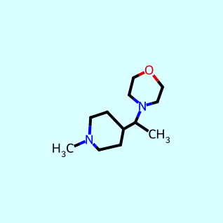 CC(C1CCN(C)CC1)N1CCOCC1